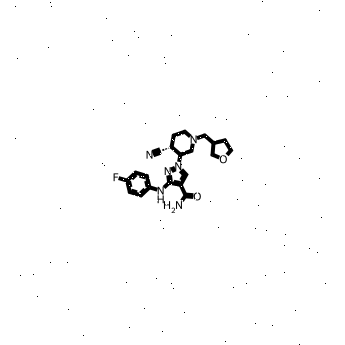 N#C[C@@H]1CCN(CC2CCOC2)CC1n1cc(C(N)=O)c(Nc2ccc(F)cc2)n1